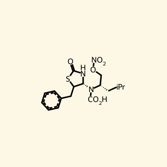 CC(C)C[C@@H](CO[N+](=O)[O-])N(C(=O)O)[C@H]1NC(=O)SC1Cc1ccccc1